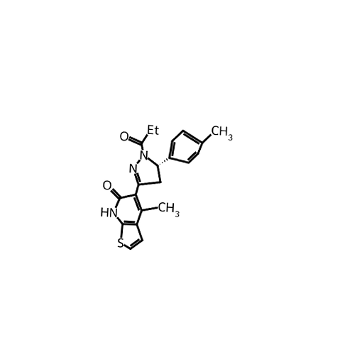 CCC(=O)N1N=C(c2c(C)c3ccsc3[nH]c2=O)C[C@H]1c1ccc(C)cc1